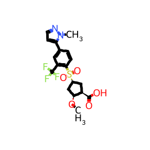 CO[C@@H]1C[C@H](S(=O)(=O)c2ccc(-c3ccnn3C)cc2C(F)(F)F)C[C@H]1C(=O)O